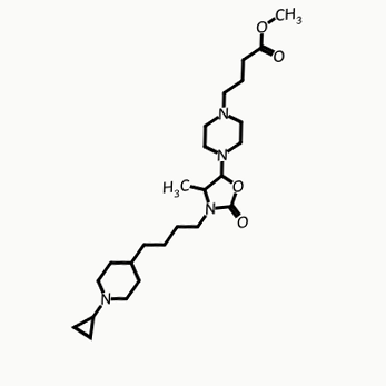 COC(=O)CCCN1CCN(C2OC(=O)N(CCCCC3CCN(C4CC4)CC3)C2C)CC1